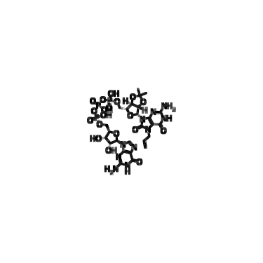 C=CCn1c(=O)n([C@@H]2O[C@H](COP(=O)(O)OP(=O)(O)OP(=O)(O)OC[C@H]3O[C@@H](n4cnc5c(=O)[nH]c(N)nc54)[C@H](O)[C@@H]3O)[C@H]3OC(C)(C)O[C@@H]32)c2nc(N)[nH]c(=O)c21